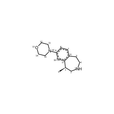 C[C@@H]1CNCCc2ccc(N3CCOCC3)nc21